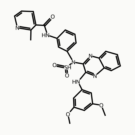 COc1cc(Nc2nc3ccccc3nc2N(c2cccc(NC(=O)c3cccnc3C)c2)[SH](=O)=O)cc(OC)c1